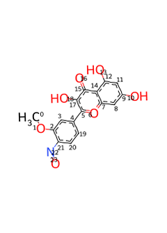 COc1cc(-c2oc3cc(O)cc(O)c3c(=O)c2O)ccc1N=O